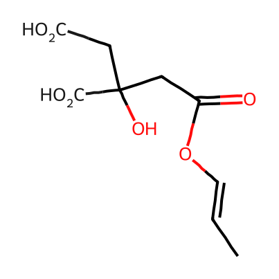 CC=COC(=O)CC(O)(CC(=O)O)C(=O)O